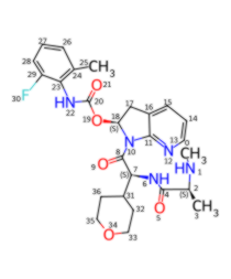 CN[C@@H](C)C(=O)N[C@H](C(=O)N1c2ncccc2C[C@@H]1OC(=O)Nc1c(C)cccc1F)C1CCOCC1